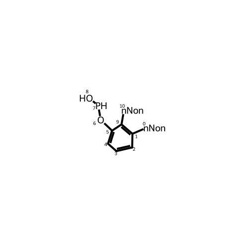 CCCCCCCCCc1cccc(OPO)c1CCCCCCCCC